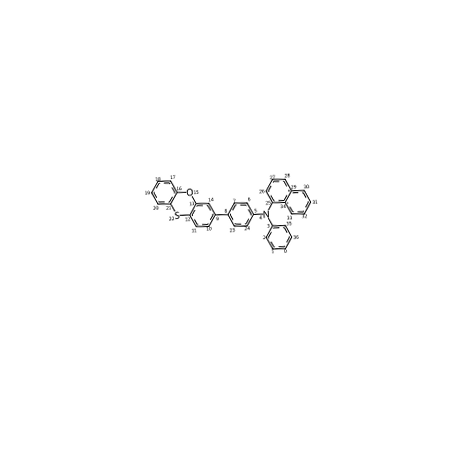 c1ccc(N(c2ccc(-c3ccc4c(c3)Oc3ccccc3S4)cc2)c2cccc3ccccc23)cc1